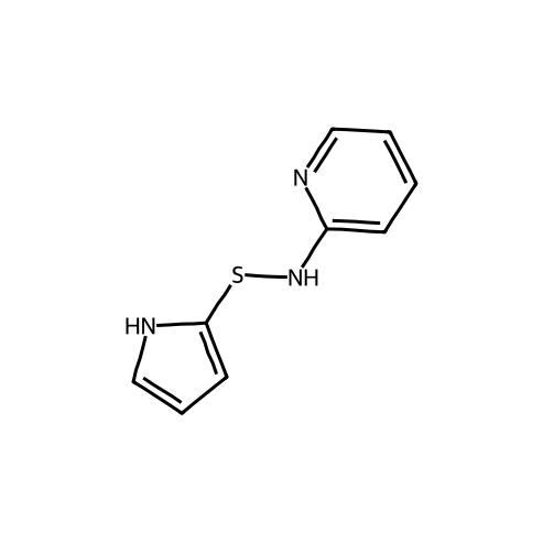 c1ccc(NSc2ccc[nH]2)nc1